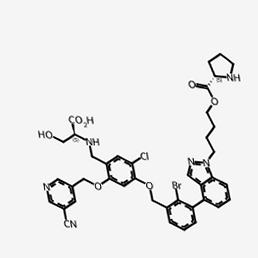 N#Cc1cncc(COc2cc(OCc3cccc(-c4cccc5c4cnn5CCCCOC(=O)[C@@H]4CCCN4)c3Br)c(Cl)cc2CN[C@@H](CO)C(=O)O)c1